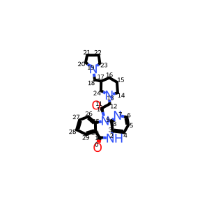 O=C1Nc2cccnc2N(C(=O)CN2CCCC(CN3CCCC3)C2)c2ccccc21